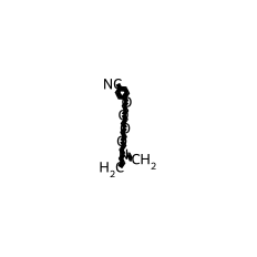 C=CCN(CC=C)CCOCCOCCOCCOc1ccc(C#N)cc1